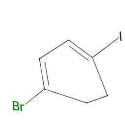 BrC1=CC=C(I)CC1